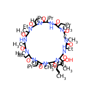 C/C=C/CC(C)C(O)C1C(=O)NC(CC)C(=O)N(C)CC(=O)N(C)C(CC(C)C)C(=O)NC(C(C)C)C(=O)N(C)C(CC(C)C)C(=O)N(CC)C(C)C(=O)NC(C)C(=O)N(C)C(CC(C)C)C(=O)N(C)C(CC(C)C)C(=O)N(C)C(C(C)C)C(=O)N1C